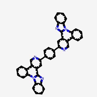 c1ccc2c(c1)nc1c3cc(-c4ccc(-c5cc6c(cn5)c5ccccc5n5c7ccccc7nc65)cc4)ncc3c3ccccc3n21